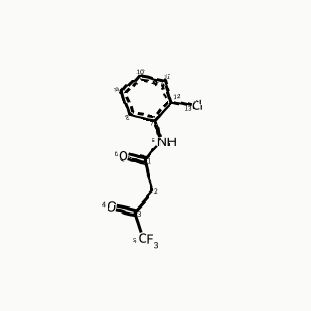 O=C(CC(=O)C(F)(F)F)Nc1ccccc1Cl